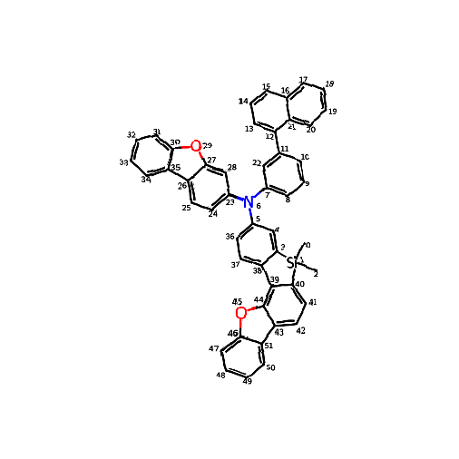 C[Si]1(C)c2cc(N(c3cccc(-c4cccc5ccccc45)c3)c3ccc4c(c3)oc3ccccc34)ccc2-c2c1ccc1c2oc2ccccc21